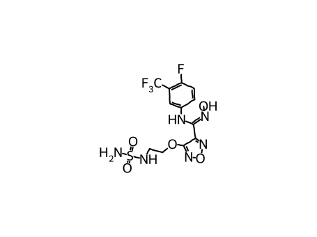 NS(=O)(=O)NCCOc1nonc1/C(=N/O)Nc1ccc(F)c(C(F)(F)F)c1